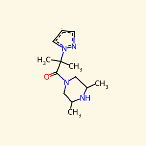 CC1CN(C(=O)C(C)(C)n2c[c]cn2)CC(C)N1